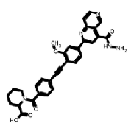 COc1cc(-c2cc(C(=O)NN)c3cnccc3n2)ccc1C#Cc1ccc(C(=O)N2CCCCC2C(=O)O)cc1